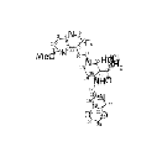 COc1ccc2ncc(F)c(CCN3CC[C@H](NCc4cc5c(cn4)OCCO5)C(C(N)=O)C3)c2n1.Cl.Cl